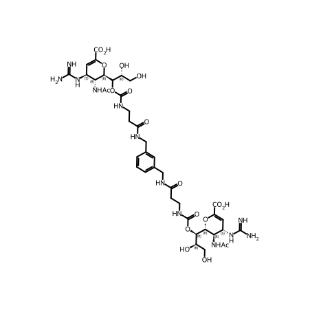 CC(=O)N[C@@H]1[C@@H](NC(=N)N)C=C(C(=O)O)O[C@H]1C(OC(=O)NCCC(=O)NCc1cccc(CNC(=O)CCNC(=O)O[C@@H]([C@@H]2OC(C(=O)O)=C[C@H](NC(=N)N)[C@H]2NC(C)=O)[C@H](O)CO)c1)[C@H](O)CO